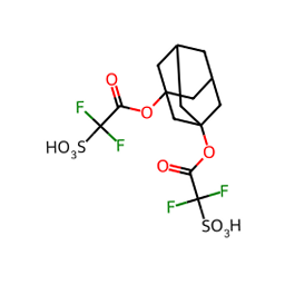 O=C(OC12CC3CC(C1)CC(OC(=O)C(F)(F)S(=O)(=O)O)(C3)C2)C(F)(F)S(=O)(=O)O